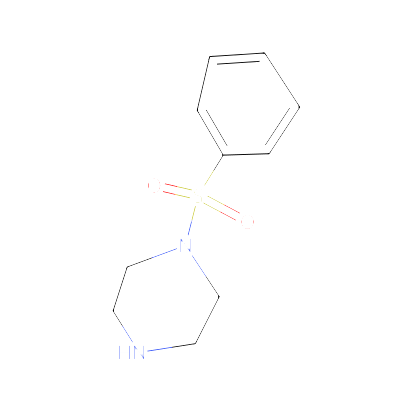 O=S(=O)(c1[c]cccc1)N1CCNCC1